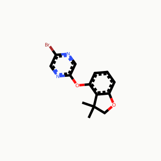 CC1(C)COc2cccc(Oc3cnc(Br)cn3)c21